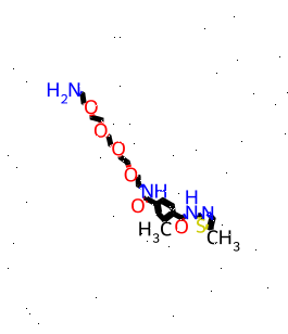 Cc1cnc(NC(=O)c2ccc(C(=O)NCCOCCOCCOCCOCCN)cc2C)s1